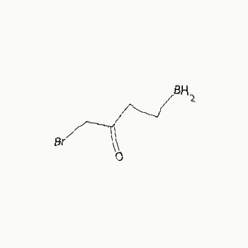 BCCC(=O)CBr